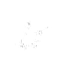 CCn1nnc2c1-c1ccccc1CN(C(=O)CCC(=O)NCCOCCOCC(=O)N[C@H](C(=O)N[C@@H](C)C(=O)Nc1ccc(COC(=O)N3c4cc(OCCCOc5cc6c(cc5OC)C(=O)N5C=C(c7ccc(OC)cc7)C[C@H]5CN6)c(OC)cc4C(=O)N4CC5(CC5)C[C@H]4[C@@H]3O)cc1)C(C)C)c1ccccc1-2